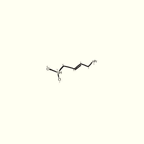 CCCCC=CC[SiH](Cl)Cl